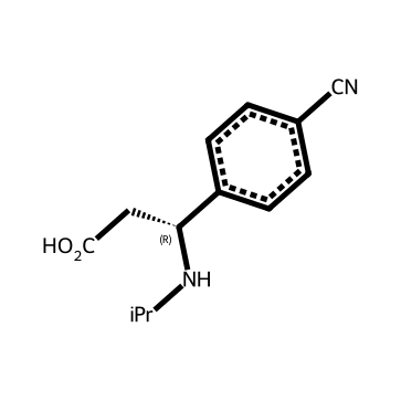 CC(C)N[C@H](CC(=O)O)c1ccc(C#N)cc1